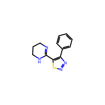 c1ccc(-c2nnsc2C2=NCCCN2)cc1